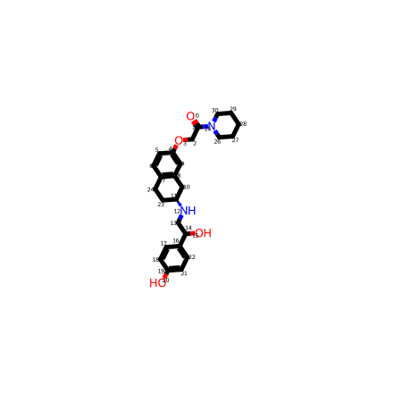 O=C(COc1ccc2c(c1)C[C@@H](NCC(O)c1ccc(O)cc1)CC2)N1CCCCC1